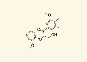 COc1ccccc1OC(CO)C(=O)c1cc(C)c(C)c(OC)c1